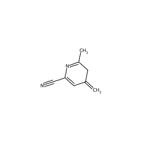 C=C1C=C(C#N)N=C(C)C1